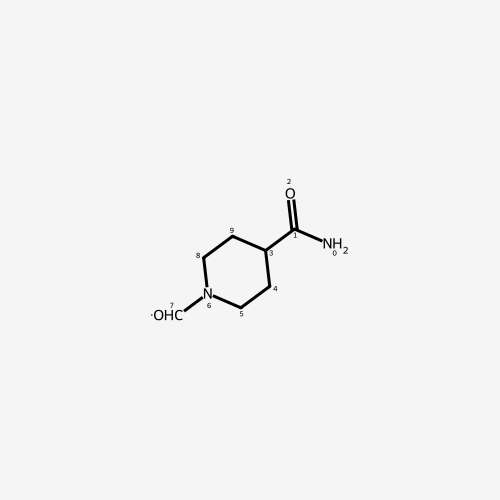 NC(=O)C1CCN([C]=O)CC1